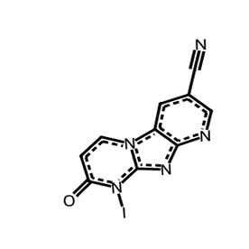 N#Cc1cnc2nc3n(I)c(=O)ccn3c2c1